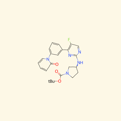 CC(C)(C)OC(=O)N1CC[C@H](Nc2ncc(F)c(-c3cccc(-n4ccccc4=O)c3)n2)C1